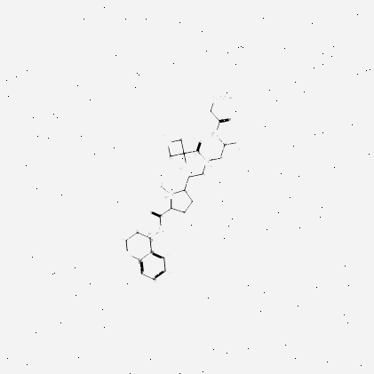 CNCC(=O)NC(C=O)CN(CCC1CCC(C(=O)N[C@@H]2CCOc3ccccc32)N1C)C(=O)C1(O)COC1